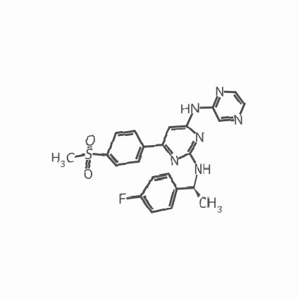 C[C@H](Nc1nc(Nc2cnccn2)cc(-c2ccc(S(C)(=O)=O)cc2)n1)c1ccc(F)cc1